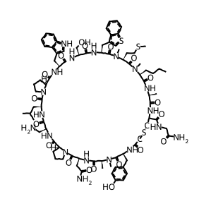 CCCC[C@H]1C(=O)N[C@@H](C)C(=O)NC(C(=O)NCC(N)=O)CSCC(=O)N[C@@H](Cc2ccc(O)cc2)C(=O)N(C)[C@@H](C)C(=O)N[C@@H](CC(N)=O)C(=O)N2CCC[C@H]2C(=O)N[C@@H](CN)C(=O)N[C@@H](CC(C)C)C(=O)N2CCC[C@H]2C(=O)N[C@@H](Cc2c[nH]c3ccccc23)C(=O)N[C@@H](CO)C(=O)N[C@@H](Cc2csc3ccccc23)C(=O)N(C)[C@@H](CCSC)C(=O)N1C